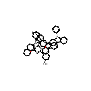 N#Cc1ccc(-n2c3ccccc3c3cc4c5ccccc5n(-c5ccccc5)c4cc32)c(-c2nc(-c3ccccc3)nc(-c3cc(C#N)ccc3-n3c4ccccc4c4cc5c6ccccc6n(-c6ccccc6)c5cc43)n2)c1